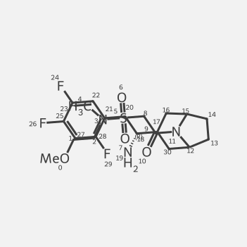 COCCN(C)S(=O)(=O)CC(=O)N1C2CCC1CC([C@H](N)Cc1cc(F)c(F)cc1F)C2